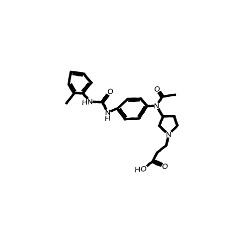 CC(=O)N(c1ccc(NC(=O)Nc2ccccc2C)cc1)C1CCN(CCC(=O)O)C1